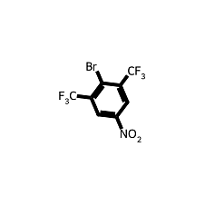 O=[N+]([O-])c1cc(C(F)(F)F)c(Br)c(C(F)(F)F)c1